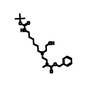 CN(CCN(CCO)CCCCCCNC(=O)OC(C)(C)C)C(=O)OCc1ccccc1